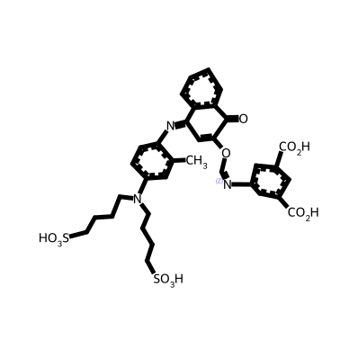 Cc1cc(N(CCCCS(=O)(=O)O)CCCCS(=O)(=O)O)ccc1N=C1C=C(O/C=N\c2cc(C(=O)O)cc(C(=O)O)c2)C(=O)c2ccccc21